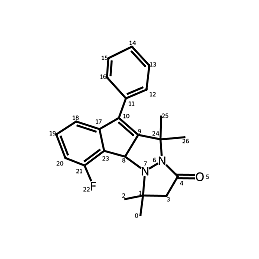 CC1(C)CC(=O)N2N1C1C(=C(c3ccccc3)c3cccc(F)c31)C2(C)C